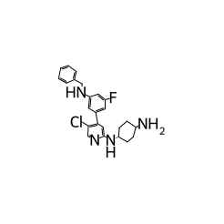 N[C@H]1CC[C@H](Nc2cc(-c3cc(F)cc(NCc4ccccc4)c3)c(Cl)cn2)CC1